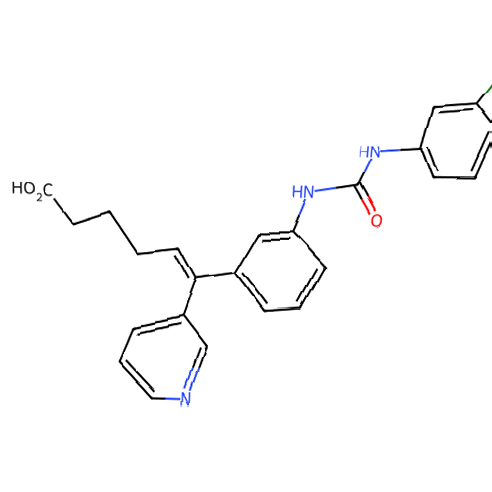 O=C(O)CCC/C=C(\c1cccnc1)c1cccc(NC(=O)Nc2cccc(Cl)c2)c1